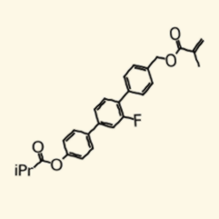 C=C(C)C(=O)OCc1ccc(-c2ccc(-c3ccc(OC(=O)C(C)C)cc3)cc2F)cc1